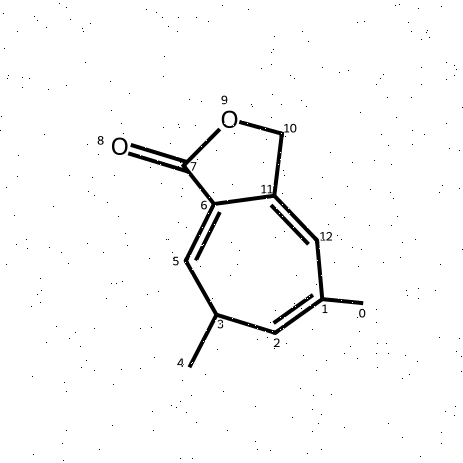 CC1=CC(C)C=C2C(=O)OCC2=C1